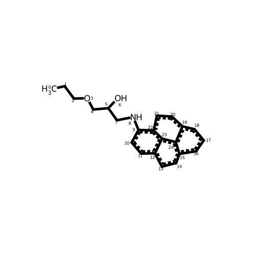 CCCOCC(O)CNc1ccc2ccc3cccc4ccc1c2c34